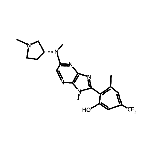 Cc1cc(C(F)(F)F)cc(O)c1-c1nc2nc(N(C)[C@@H]3CCN(C)C3)cnc2n1C